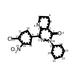 O=c1c2cccnc2c(-c2ccc(Cl)c([N+](=O)[O-])c2)nn1-c1ccccc1